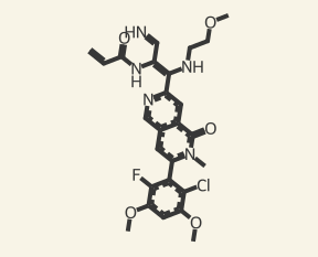 C=CC(=O)N/C(C=N)=C(/NCCOC)c1cc2c(=O)n(C)c(-c3c(F)c(OC)cc(OC)c3Cl)cc2cn1